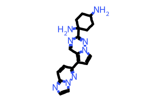 NC1CCC(N)(c2ncc3c(-c4ccc5nccn5n4)ccn3n2)CC1